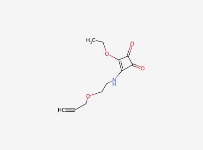 C#CCOCCNc1c(OCC)c(=O)c1=O